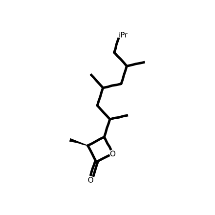 CC(C)CC(C)CC(C)CC(C)C1OC(=O)[C@H]1C